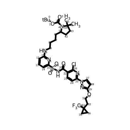 CC(C)(C)OC(=O)N1C(CCCCNc2cccc(S(=O)(=O)NC(=O)c3ccc(-n4ccc(OCCC5(C(F)(F)F)CC5)n4)nc3Cl)n2)CCC1(C)C